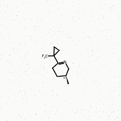 C[C@H]1CCC(C2(C(F)(F)F)CC2)=NC1